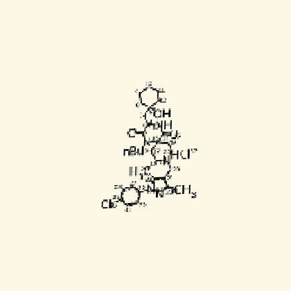 CCCCN1C(=O)[C@@H](CC2(O)CCCCC2)NC(=O)C12CCN(Cc1c(C)nn(-c3ccc(Cl)cc3)c1C)CC2.Cl